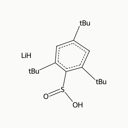 CC(C)(C)c1cc(C(C)(C)C)c(S(=O)O)c(C(C)(C)C)c1.[LiH]